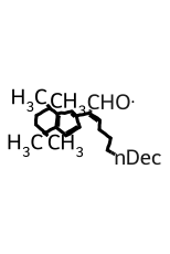 CCCCCCCCCCCCC/C=C(/[C]=O)c1ccc2c(c1)C(C)(C)CCC2(C)C